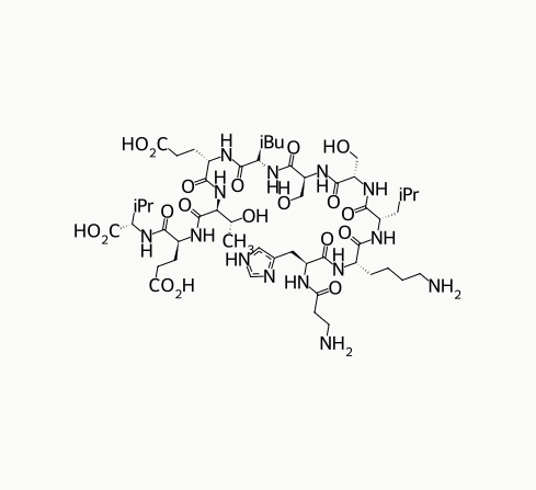 CC[C@H](C)[C@H](NC(=O)[C@H](CO)NC(=O)[C@H](CO)NC(=O)[C@H](CC(C)C)NC(=O)[C@H](CCCCN)NC(=O)[C@H](Cc1c[nH]cn1)NC(=O)CCN)C(=O)N[C@@H](CCC(=O)O)C(=O)N[C@H](C(=O)N[C@@H](CCC(=O)O)C(=O)N[C@H](C(=O)O)C(C)C)[C@@H](C)O